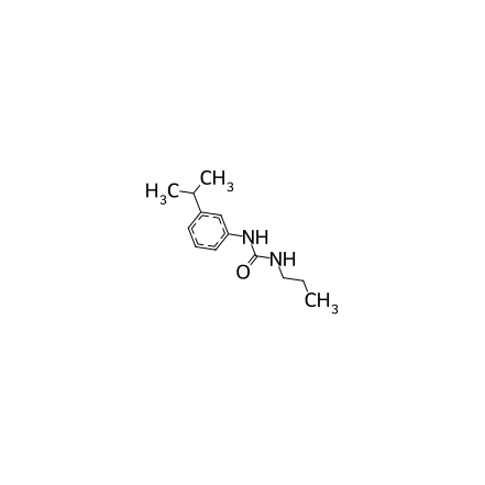 CCCNC(=O)Nc1cccc(C(C)C)c1